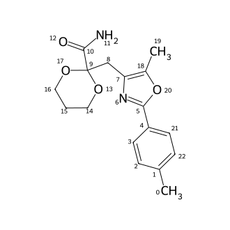 Cc1ccc(-c2nc(CC3(C(N)=O)OCCCO3)c(C)o2)cc1